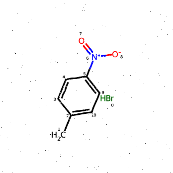 Br.[CH2]c1ccc([N+](=O)[O-])cc1